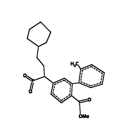 COC(=O)c1ccc(C(CCC2CCCCC2)P(=O)=O)cc1-c1ccccc1C